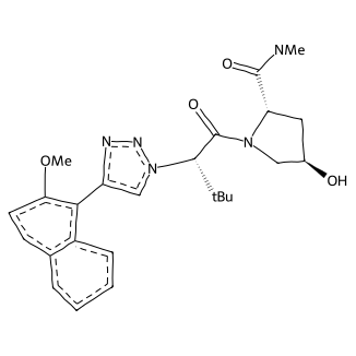 CNC(=O)[C@@H]1C[C@@H](O)CN1C(=O)[C@@H](n1cc(-c2c(OC)ccc3ccccc23)nn1)C(C)(C)C